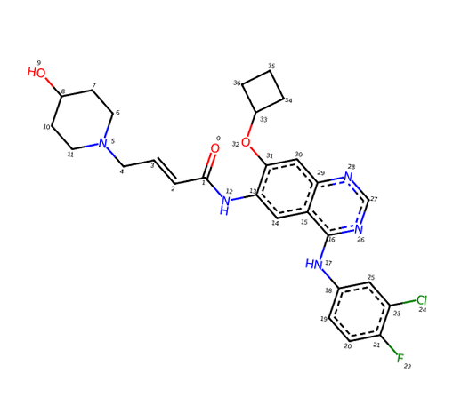 O=C(C=CCN1CCC(O)CC1)Nc1cc2c(Nc3ccc(F)c(Cl)c3)ncnc2cc1OC1CCC1